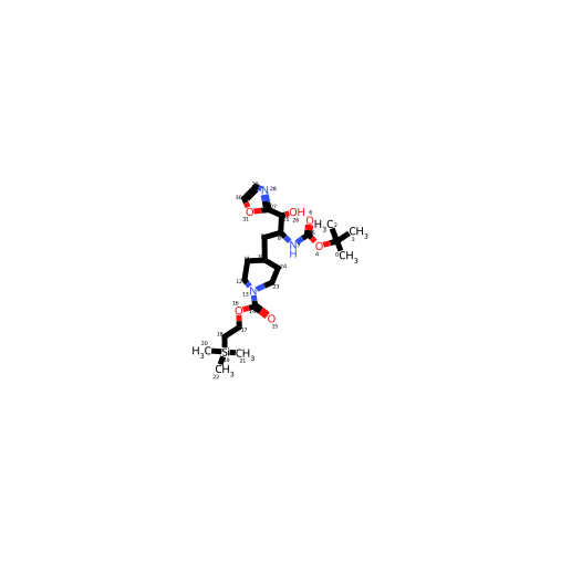 CC(C)(C)OC(=O)NC(CC1CCN(C(=O)OCC[Si](C)(C)C)CC1)C(O)c1ncco1